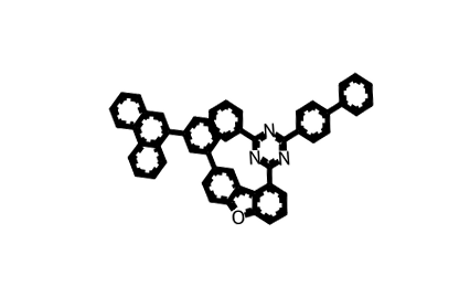 c1ccc(-c2ccc(-c3nc(-c4ccccc4)nc(-c4cccc5oc6ccc(-c7cccc(-c8cc9ccccc9c9ccccc89)c7)cc6c45)n3)cc2)cc1